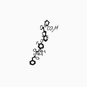 O=C(NSC(=O)Cc1ccccc1)Nc1ccc(Oc2ccnc3cc(C(=O)N4CCCC4C(=O)O)sc23)c(F)c1